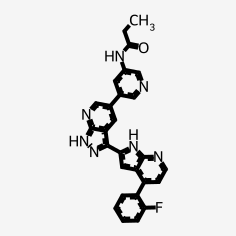 CCC(=O)Nc1cncc(-c2cnc3[nH]nc(-c4cc5c(-c6ccccc6F)ccnc5[nH]4)c3c2)c1